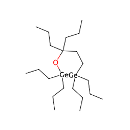 CCCC1(CCC)C[CH2][Ge]([CH2]CC)([CH2]CC)[Ge]([CH2]CC)([CH2]CC)[O]1